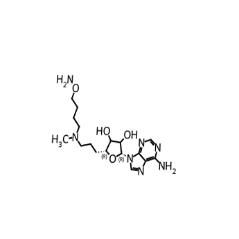 CN(CCCCON)CCC[C@H]1O[C@@H](n2cnc3c(N)ncnc32)C(O)C1O